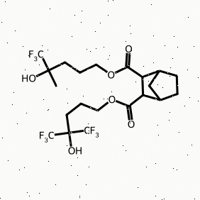 CC(O)(CCCOC(=O)C1C2CCC(C2)C1C(=O)OCCCC(O)(C(F)(F)F)C(F)(F)F)C(F)(F)F